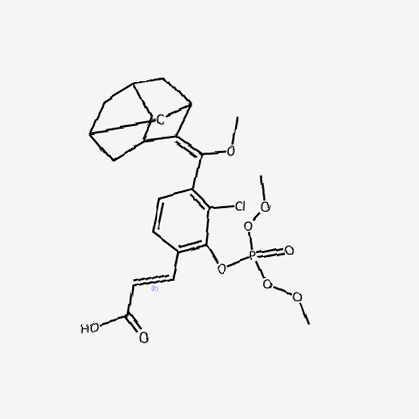 COOP(=O)(OOC)Oc1c(/C=C/C(=O)O)ccc(C(OC)=C2C3CC4CC(C3)CC2C4)c1Cl